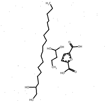 CCCC(O)O.CCCCCCCCCCCCCCCCC(O)CO.O=C(O)c1ccc(C(=O)O)o1